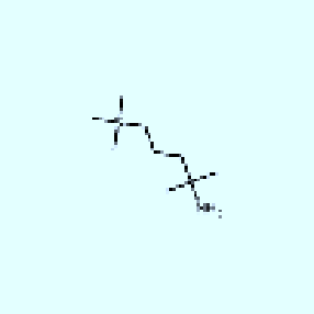 CC(C)(N)CCCS(C)(C)C